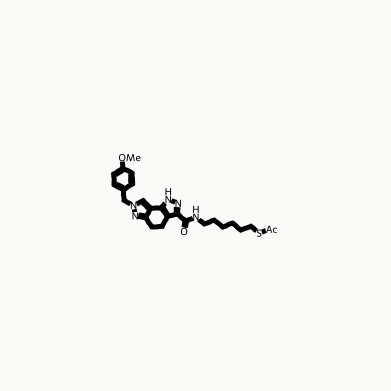 COc1ccc(Cn2cc3c(n2)CCc2c(C(=O)NCCCCCCSC(C)=O)n[nH]c2-3)cc1